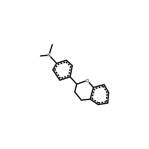 CN(C)c1ccc(C2CCc3ccccc3O2)cc1